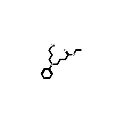 CCOC(=O)CCCN(CCCO)c1ccccc1